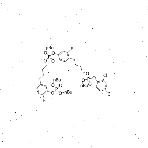 CCCCOP(=O)(OCCCCc1ccc(F)c(OP(=O)(OCCCC)OCCCC)c1)Oc1ccc(CCCCOP(=O)(OCCCC)Oc2ccc(Cl)cc2Cl)c(F)c1